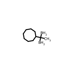 BC(B)(C)C1CCCCCCC1